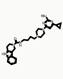 CC(C)(C)c1nc(C2CC2)cc(N2CCN(CCCCNC(=O)N3CCc4[nH]c5ccccc5c4C3)CC2)n1